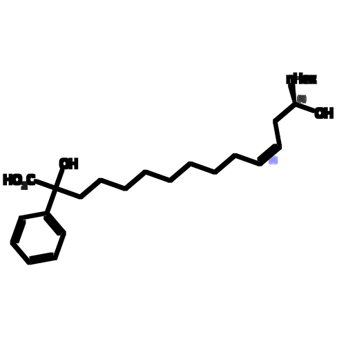 CCCCCC[C@@H](O)C/C=C\CCCCCCCCC(O)(C(=O)O)c1ccccc1